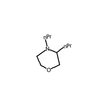 CCCC1COCCN1CCC